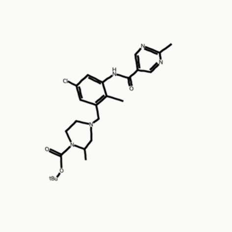 Cc1ncc(C(=O)Nc2cc(Cl)cc(CN3CCN(C(=O)OC(C)(C)C)C(C)C3)c2C)cn1